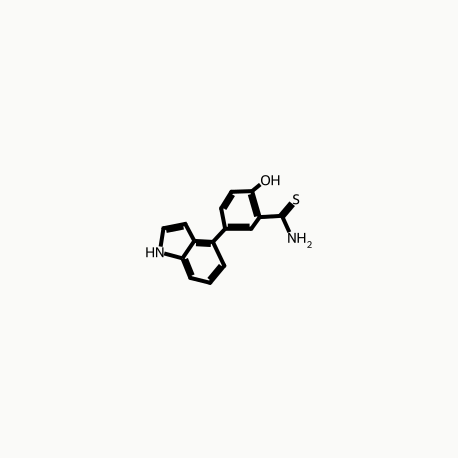 NC(=S)c1cc(-c2cccc3[nH]ccc23)ccc1O